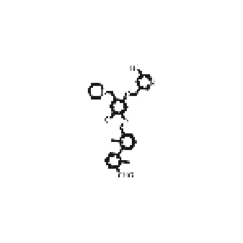 Cc1c(C=O)cccc1-c1cccc(COc2cc(OCc3cncc(C#N)c3)c(CN3CCCCC3)cc2Cl)c1C